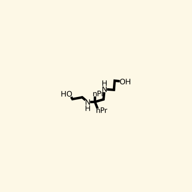 CCCC(CCC)(CNCCO)NCCO